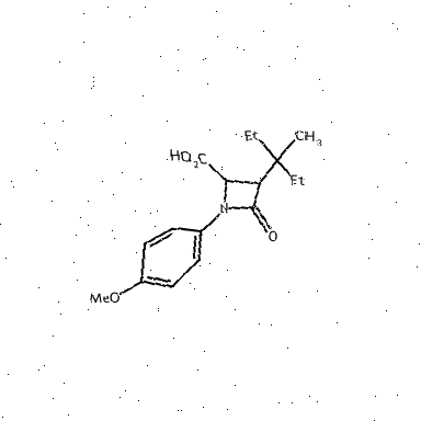 CCC(C)(CC)C1C(=O)N(c2ccc(OC)cc2)C1C(=O)O